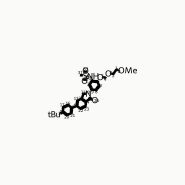 COCCOCOc1ccc(N2Cc3cc(-c4ccc(C(C)(C)C)cc4)ccc3C2=O)cc1NS(C)(=O)=O